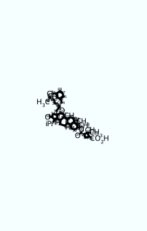 CC(C)C1=C2[C@H]3CC[C@@H]4[C@@]5(C)CC[C@H](OC(=O)[C@H]6C[C@@H](C(=O)O)C6(C)C)C(C)(C)[C@@H]5CC[C@@]4(C)[C@]3(C)CC[C@@]2(CC(=O)N(CCN(C)C)Cc2cccc(Cl)c2)CC1=O